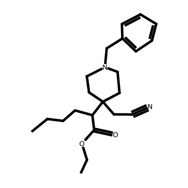 CCCCC(C(=O)OCC)C1(CC#N)CCN(Cc2ccccc2)CC1